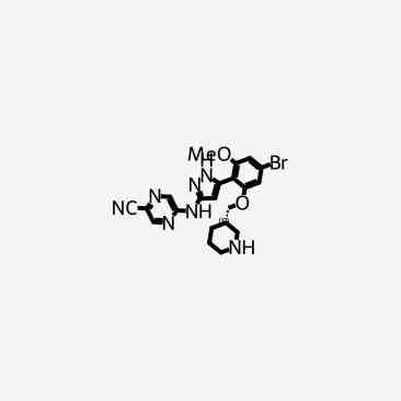 COc1cc(Br)cc(OC[C@H]2CCCNC2)c1-c1cc(Nc2cnc(C#N)cn2)n[nH]1